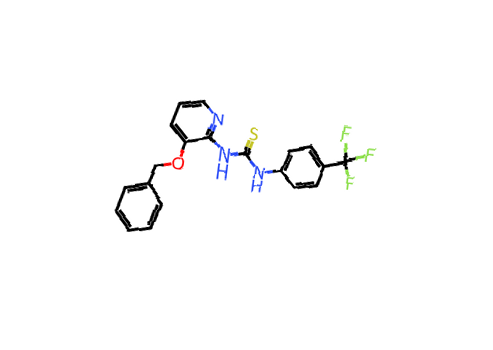 FC(F)(F)c1ccc(NC(=S)Nc2ncccc2OCc2ccccc2)cc1